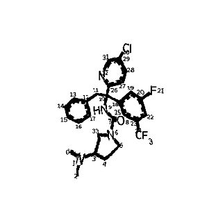 CN(C)C1CCN(C(=O)NC(Cc2ccccc2)(c2cc(F)cc(C(F)(F)F)c2)c2ccc(Cl)cn2)C1